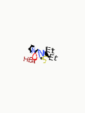 Br.CCC1=C(CC)N(CC(=O)N2CCCC2)CS1